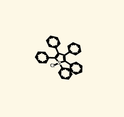 ClS1(c2ccccc2)C(c2ccccc2)=C(c2ccccc2)C(c2ccccc2)=C1c1ccccc1